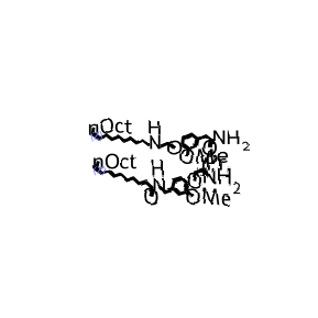 CCCCCCCC/C=C\CCCCCCCC(=O)NCc1ccc(OC[C@@H](N)C(C)C)c(OC)c1.CCCCCCCC/C=C\CCCCCCCCNCCOc1ccc(CC(N)=O)cc1OC